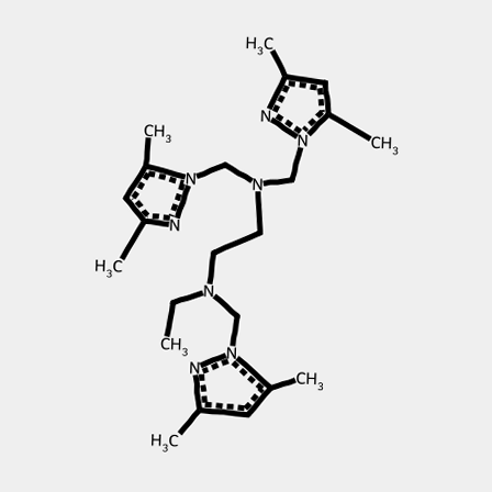 CCN(CCN(Cn1nc(C)cc1C)Cn1nc(C)cc1C)Cn1nc(C)cc1C